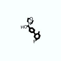 Cc1ccc(F)cc1-c1ccc(C(O)N2CCOCC2)cc1